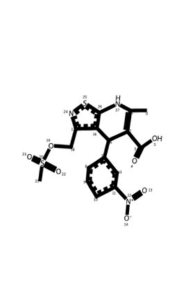 CC1=C(C(=O)O)C(c2cccc([N+](=O)[O-])c2)c2c(COS(C)(=O)=O)nsc2N1